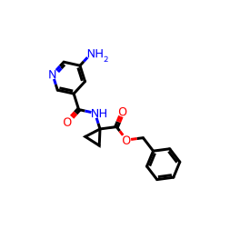 Nc1cncc(C(=O)NC2(C(=O)OCc3ccccc3)CC2)c1